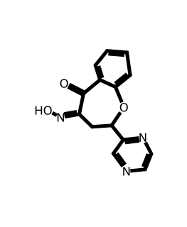 O=C1C(=NO)CC(c2cnccn2)Oc2ccccc21